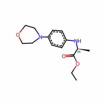 CCOC(=O)[C@H](C)Nc1ccc(N2CCOCC2)cc1